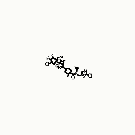 Cc1cc(C2=NOC(c3cc(Cl)c(F)c(Cl)c3)(C(F)(F)F)C2)ccc1C(=O)N(Cc1cnc(Cl)s1)C1CC1